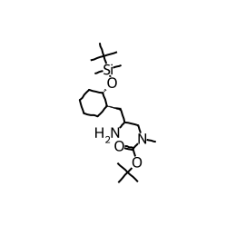 CN(CC(N)C[C@H]1CCCC[C@@H]1O[Si](C)(C)C(C)(C)C)C(=O)OC(C)(C)C